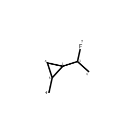 CC(F)C1CC1C